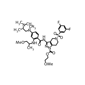 COCCOC(=O)n1nc(NC(=O)c2ccc(N(C)C[C@@H](C)N(C)C)cc2NC(C)COC)c2c1CCN(S(=O)(=O)c1cc(F)cc(F)c1)C2